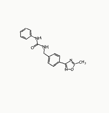 Cc1nc(-c2ccc(CNC(=O)Nc3ccccc3)cc2)no1